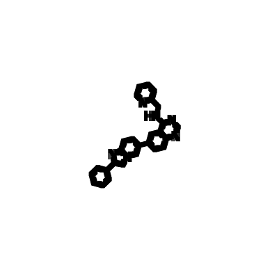 c1ccc(-c2cn3cc(-c4ccc5ncnc(NCc6ccccn6)c5c4)ccc3n2)cc1